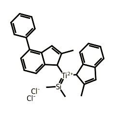 CC1=Cc2ccccc2[CH]1[Ti+2]([CH]1C(C)=Cc2c(-c3ccccc3)cccc21)=[Si](C)C.[Cl-].[Cl-]